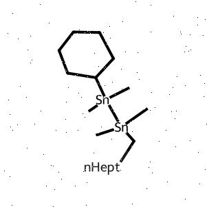 CCCCCCC[CH2][Sn]([CH3])([CH3])[Sn]([CH3])([CH3])[CH]1CCCCC1